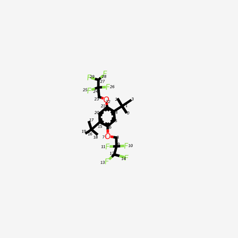 CC(C)(C)c1cc(OCC(F)(F)C(F)F)c(C(C)(C)C)cc1OCC(F)(F)C(F)F